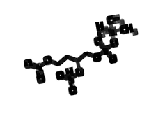 C[Si](C)(C)OS(=O)(=O)OCC(CCO[SH](=O)=O)O[SH](=O)=O